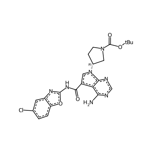 CC(C)(C)OC(=O)N1CC[C@@H](n2cc(C(=O)Nc3nc4cc(Cl)ccc4o3)c3c(N)ncnc32)C1